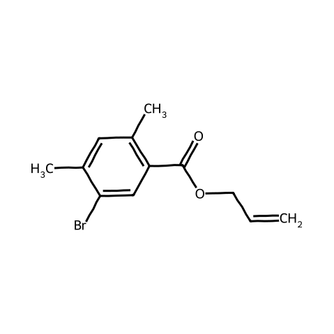 C=CCOC(=O)c1cc(Br)c(C)cc1C